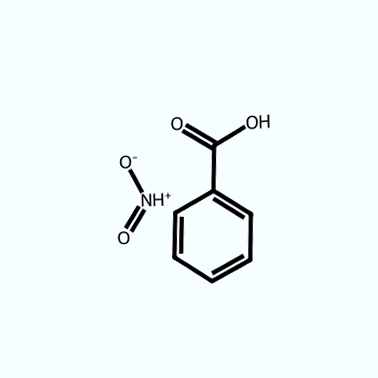 O=C(O)c1ccccc1.O=[NH+][O-]